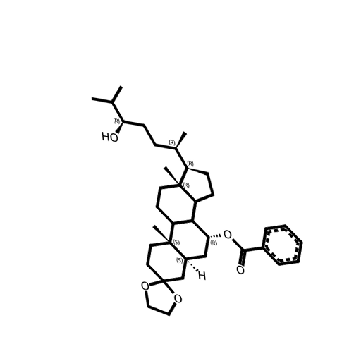 CC(C)[C@H](O)CC[C@@H](C)[C@H]1CCC2C3C(CC[C@@]21C)[C@@]1(C)CCC2(C[C@@H]1C[C@H]3OC(=O)c1ccccc1)OCCO2